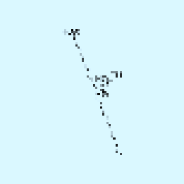 CCCCCCCCCCCCCCCCC(CCCCCCCCCCCCCCCC(=O)O)C(=O)OCC(O)CO